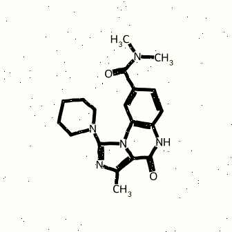 Cc1nc(N2CCCCC2)n2c1c(=O)[nH]c1ccc(C(=O)N(C)C)cc12